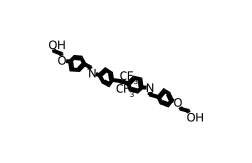 OCCOc1ccc(/C=N/c2ccc(C(c3ccc(/N=C/c4ccc(OCCO)cc4)cc3)(C(F)(F)F)C(F)(F)F)cc2)cc1